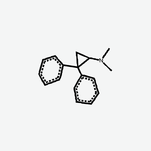 CN(C)C1CC1(c1ccccc1)c1ccccc1